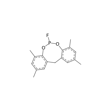 Cc1cc(C)c2c(c1)Cc1cc(C)cc(C)c1OP(F)O2